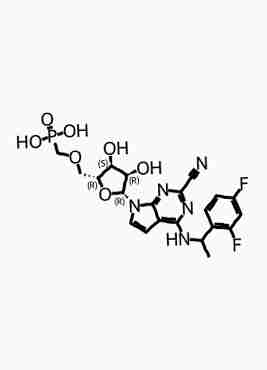 CC(Nc1nc(C#N)nc2c1ccn2[C@@H]1O[C@H](COCP(=O)(O)O)[C@@H](O)[C@H]1O)c1ccc(F)cc1F